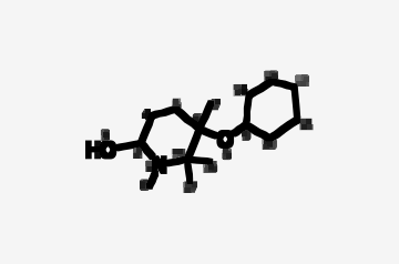 CN1C(O)CCC(C)(OC2CCCCC2)C1(C)C